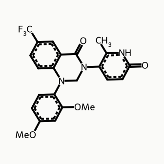 COc1ccc(N2CN(c3ccc(=O)[nH]c3C)C(=O)c3cc(C(F)(F)F)ccc32)c(OC)c1